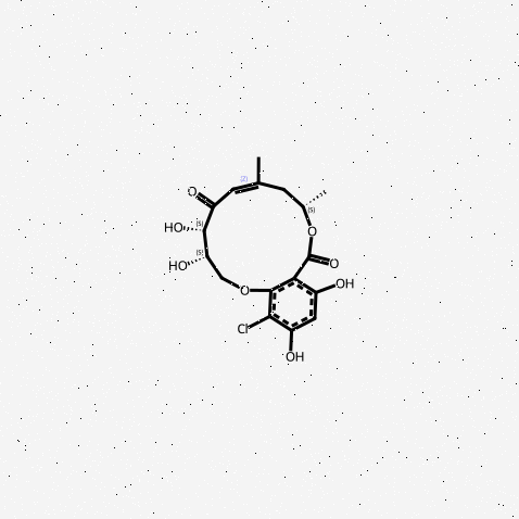 C/C1=C/C(=O)[C@@H](O)[C@@H](O)COc2c(Cl)c(O)cc(O)c2C(=O)O[C@@H](C)C1